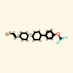 FC(F)Oc1ccc(C2CCC([C@H]3CC[C@H](/C=C/Br)CC3)CC2)cc1